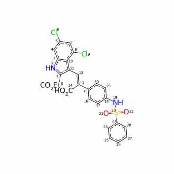 CCOC(=O)c1[nH]c2cc(Cl)cc(Cl)c2c1C=C(C(=O)O)c1ccc(NS(=O)(=O)c2ccccc2)cc1